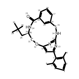 Cc1cccc(C)c1-c1cc2nc(n1)NSc1cccc(c1)C(=O)N[C@H](CC(C)(C)C)CO2